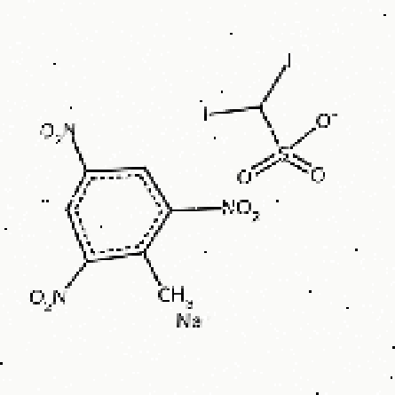 Cc1c([N+](=O)[O-])cc([N+](=O)[O-])cc1[N+](=O)[O-].O=S(=O)([O-])C(I)I.[Na+]